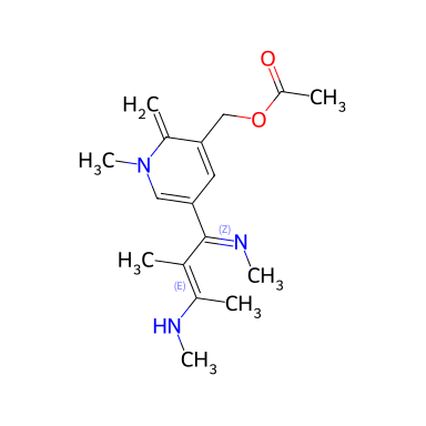 C=C1C(COC(C)=O)=CC(C(=N/C)/C(C)=C(\C)NC)=CN1C